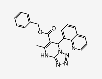 CC1=C(C(=O)OCc2ccccc2)C(c2cccc3cccnc23)n2nnnc2N1